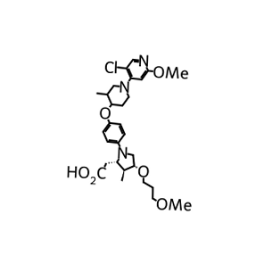 COCCCO[C@H]1CN(c2ccc(OC3CCN(c4cc(OC)ncc4Cl)CC3C)cc2)[C@@H](CC(=O)O)[C@@H]1C